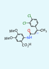 COc1cc(NC(=O)/C=C(/C)c2ccc(Cl)c(Cl)c2)c(C(=O)O)cc1OC